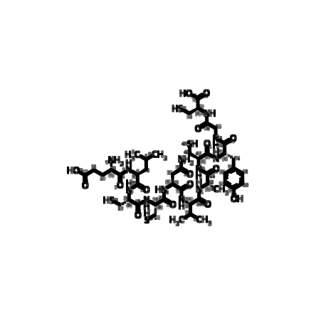 CC(C)C[C@H](NC(=O)[C@@H](N)CCC(=O)O)C(=O)N[C@@H](CS)C(=O)N[C@@H](CS)C(=O)N[C@@H](CC(N)=O)C(=O)N[C@H](C(=O)N[C@@H](C)C(=O)N[C@@H](CS)C(=O)N[C@@H](Cc1ccc(O)cc1)C(=O)NCC(=O)N[C@@H](CS)C(=O)O)C(C)C